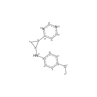 COc1ccc(NC2CC2c2ccncn2)cc1